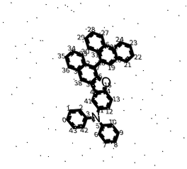 c1ccc(N(c2ccccc2)c2ccc3oc4c(-c5cc6ccccc6c6ccccc56)c5ccccc5cc4c3c2)cc1